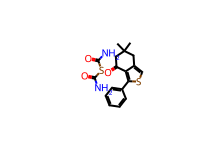 CC1(C)CC(=O)c2c(csc2-c2ccccc2)C1.NC(=O)SC(N)=O